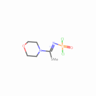 CS/C(=N\P(=O)(Cl)Cl)N1CCOCC1